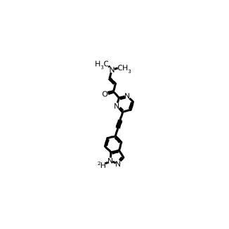 [2H]n1ncc2cc(C#Cc3ccnc(C(=O)C=CN(C)C)n3)ccc21